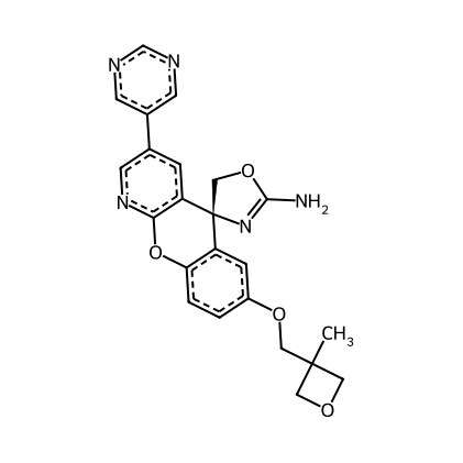 CC1(COc2ccc3c(c2)[C@]2(COC(N)=N2)c2cc(-c4cncnc4)cnc2O3)COC1